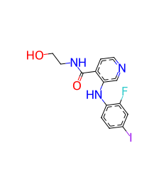 O=C(NCCO)c1ccncc1Nc1ccc(I)cc1F